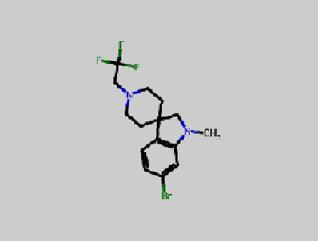 CN1CC2(CCN(CC(F)(F)F)CC2)c2ccc(Br)cc21